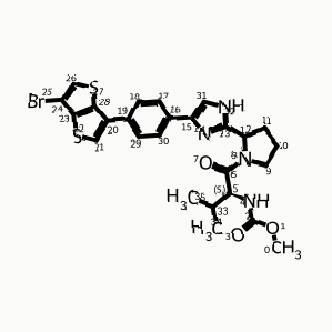 COC(=O)N[C@H](C(=O)N1CCCC1c1nc(-c2ccc(-c3csc4c(Br)csc34)cc2)c[nH]1)C(C)C